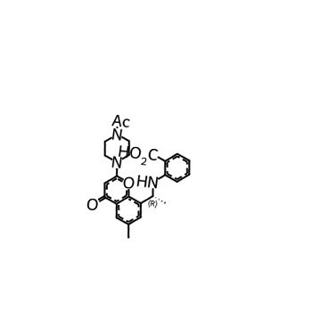 CC(=O)N1CCN(c2cc(=O)c3cc(C)cc([C@@H](C)Nc4ccccc4C(=O)O)c3o2)CC1